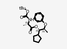 C[C@H](NC(=O)OC(C)(C)C)C(=O)O[C@@H](C1CCCC1)[C@H](C)Oc1ccccc1